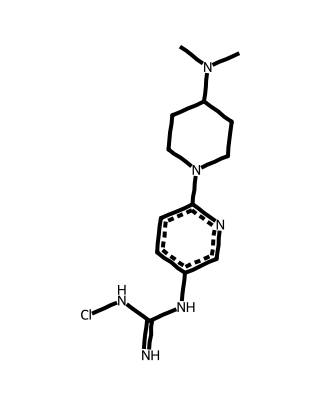 CN(C)C1CCN(c2ccc(NC(=N)NCl)cn2)CC1